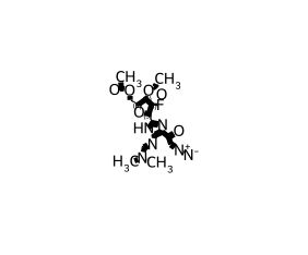 CC(=O)OC[C@H]1O[C@@H](c2nc(C(=O)C=[N+]=[N-])c(N=CN(C)C)[nH]2)[C@H](F)[C@@H]1OC(C)=O